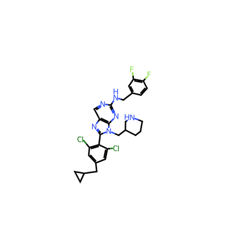 Fc1ccc(CNc2ncc3nc(-c4c(Cl)cc(CC5CC5)cc4Cl)n(CC4CCCNC4)c3n2)cc1F